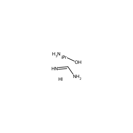 CC(C)O.I.N.N=CN